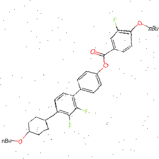 CCCCOc1ccc(C(=O)Oc2ccc(-c3ccc(C4CCC(OCCCC)CC4)c(F)c3F)cc2)cc1F